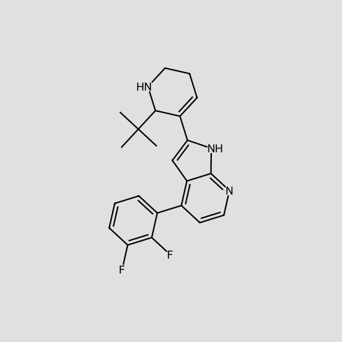 CC(C)(C)C1NCCC=C1c1cc2c(-c3cccc(F)c3F)ccnc2[nH]1